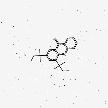 CCC(C)(C)c1cc(C(C)(C)CC)c2oc3ccccc3c(=O)c2c1